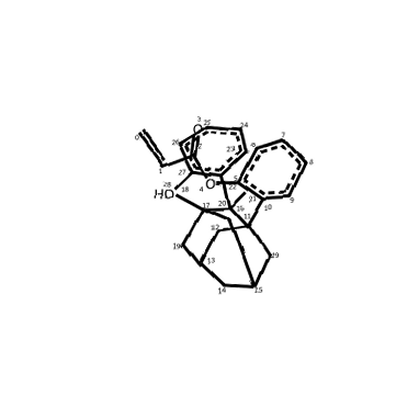 C=CC(=O)Oc1ccccc1C12CC3CC(CC(C)(C3)C1(C)c1ccccc1O)C2